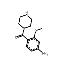 COc1cc(N)ccc1C(=O)N1CCNCC1